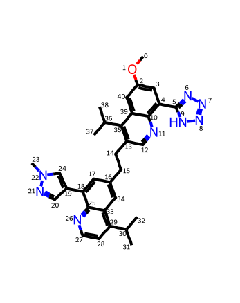 COc1cc(-c2nnn[nH]2)c2ncc(CCc3cc(-c4cnn(C)c4)c4nccc(C(C)C)c4c3)c(C(C)C)c2c1